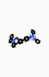 C1=CC(c2nc(-c3ccccc3)nc(-c3ccc(-c4ccc5c(c4)/C=C\CN(c4cccc6ccccc46)c4ccccc4C5)cc3)n2)=CCC1